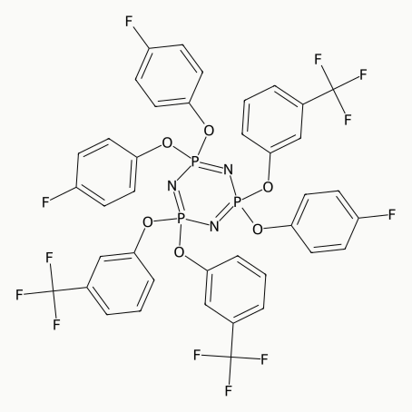 Fc1ccc(OP2(Oc3ccc(F)cc3)=NP(Oc3ccc(F)cc3)(Oc3cccc(C(F)(F)F)c3)=NP(Oc3cccc(C(F)(F)F)c3)(Oc3cccc(C(F)(F)F)c3)=N2)cc1